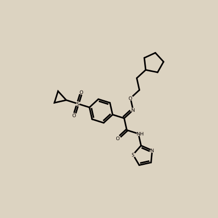 O=C(Nc1nccs1)/C(=N/OCCC1CCCC1)c1ccc(S(=O)(=O)C2CC2)cc1